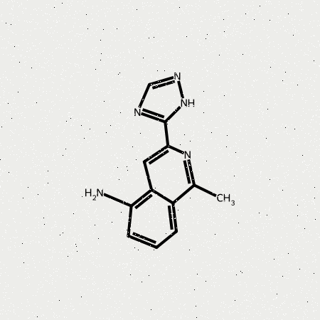 Cc1nc(-c2ncn[nH]2)cc2c(N)cccc12